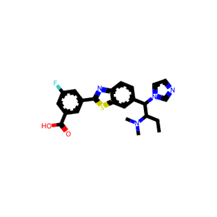 CCC(C(c1ccc2nc(-c3cc(F)cc(C(=O)O)c3)sc2c1)n1ccnc1)N(C)C